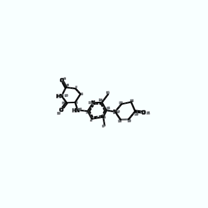 Cc1cc(NC2CCC(=O)NC2=O)nc(C)c1N1CCC(=O)CC1